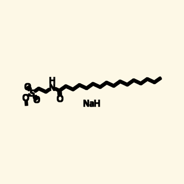 CCCCCCCCCCCCCCCC(=O)NCCS(=O)(=O)OC.[NaH]